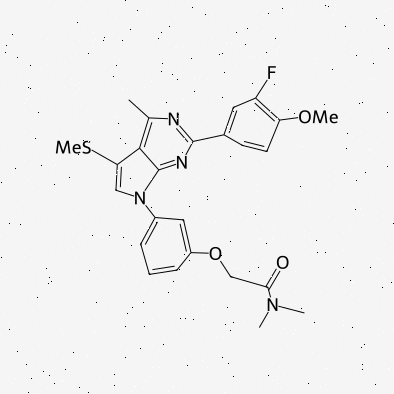 COc1ccc(-c2nc(C)c3c(SC)cn(-c4cccc(OCC(=O)N(C)C)c4)c3n2)cc1F